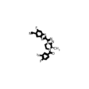 [2H]c1cc(C(=O)N2CCn3c(-c4nc5cc(C#N)c(F)cc5s4)nnc3[C@H]2C)ccc1F